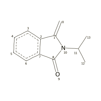 C=C1c2ccccc2C(=O)N1C(C)C